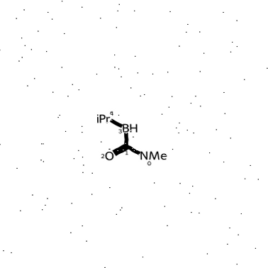 CNC(=O)BC(C)C